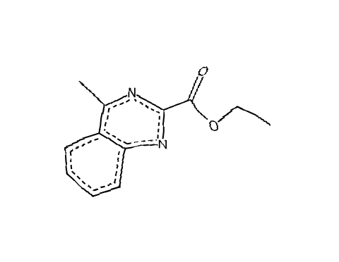 CCOC(=O)c1nc(C)c2ccccc2n1